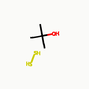 CC(C)(C)O.SS